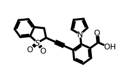 O=C(O)c1cccc(C#CC2Cc3ccccc3S2(=O)=O)c1-n1cccc1